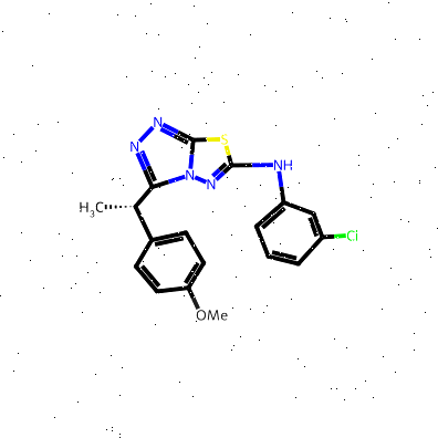 COc1ccc([C@H](C)c2nnc3sc(Nc4cccc(Cl)c4)nn23)cc1